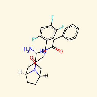 N[C@H](Cc1cc(F)c(F)cc1F)C1C[C@H]2CC[C@@H](C1)N2C(=O)CNC(=O)Cc1ccccc1